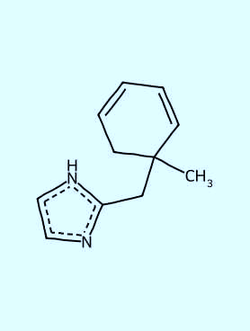 CC1(Cc2ncc[nH]2)C=CC=CC1